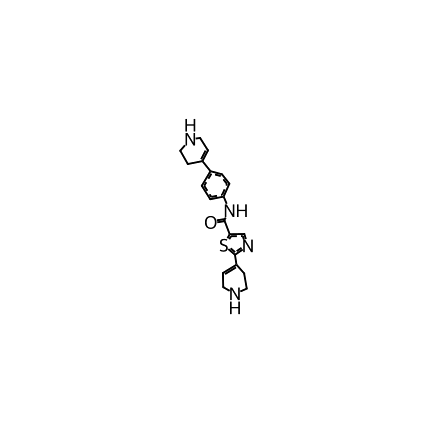 O=C(Nc1ccc(C2=CCNCC2)cc1)c1cnc(C2=CCNCC2)s1